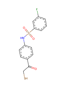 O=C(CS)c1ccc(NS(=O)(=O)c2cccc(F)c2)cc1